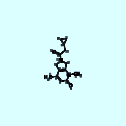 Cc1cc(=O)n(C)c2c1CN(C(=O)CC1CC1)C2